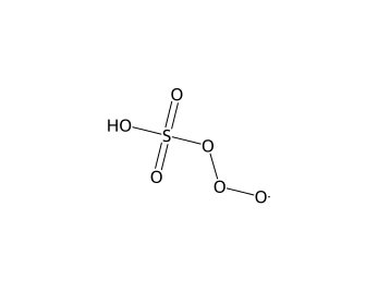 [O]OOS(=O)(=O)O